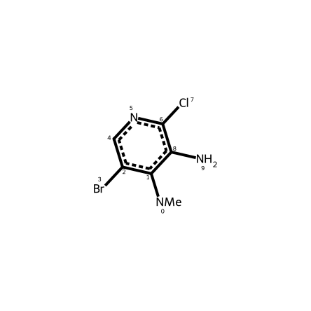 CNc1c(Br)cnc(Cl)c1N